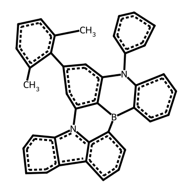 Cc1cccc(C)c1-c1cc2c3c(c1)-n1c4ccccc4c4cccc(c41)B3c1ccccc1N2c1ccccc1